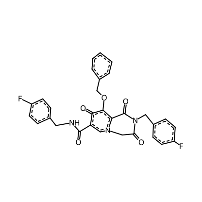 O=C(NCc1ccc(F)cc1)c1cn2c(c(OCc3ccccc3)c1=O)C(=O)N(Cc1ccc(F)cc1)C(=O)C2